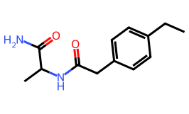 CCc1ccc(CC(=O)NC(C)C(N)=O)cc1